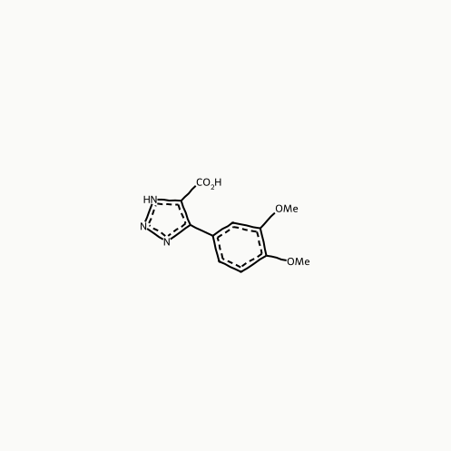 COc1ccc(-c2nn[nH]c2C(=O)O)cc1OC